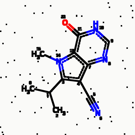 CC(C)c1c(C#N)c2nc[nH]c(=O)c2n1C